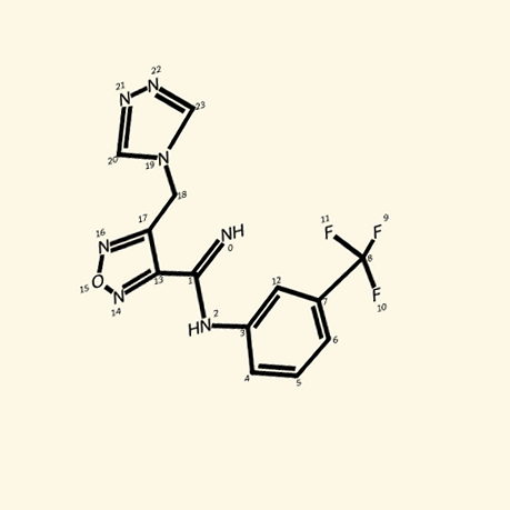 N=C(Nc1cccc(C(F)(F)F)c1)c1nonc1Cn1cnnc1